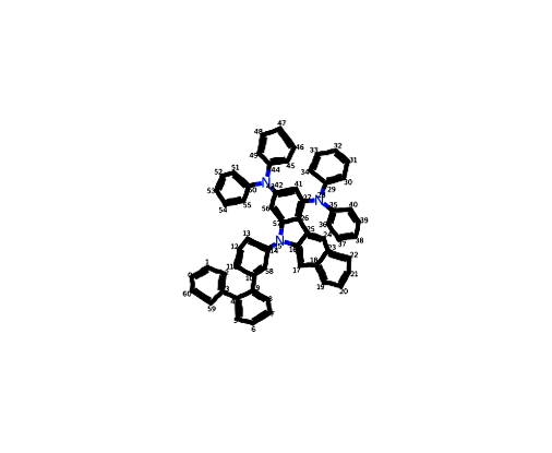 c1ccc(-c2ccccc2-c2cccc(-n3c4cc5ccccc5cc4c4c(N(c5ccccc5)c5ccccc5)cc(N(c5ccccc5)c5ccccc5)cc43)c2)cc1